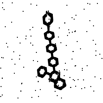 c1ccc(-c2nc3ccccc3nc2-c2ccc(-c3ccc(-c4ccc(-c5ccncc5)cc4)cc3)cc2)cc1